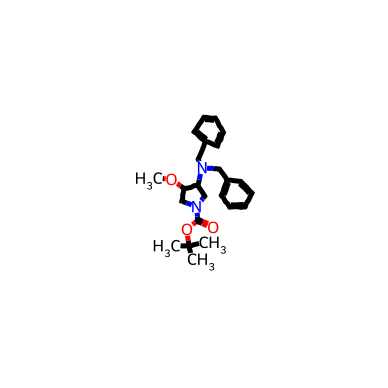 COC1CN(C(=O)OC(C)(C)C)CC1N(Cc1ccccc1)Cc1ccccc1